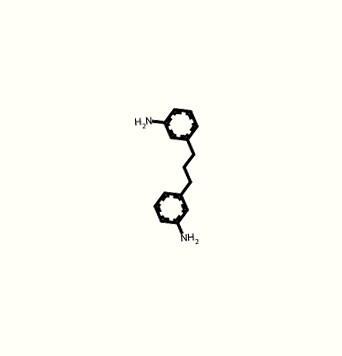 Nc1cccc(CCCc2cccc(N)c2)c1